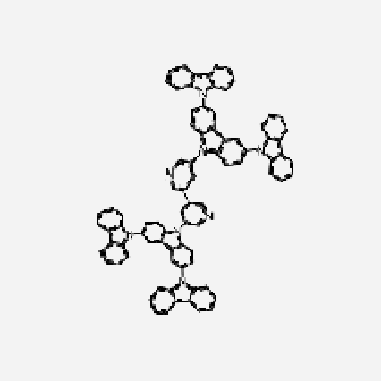 c1ccc2c(c1)c1ccccc1n2-c1ccc2c(c1)c1cc(-n3c4ccccc4c4ccccc43)ccc1n2-c1cncc(-c2cncc(-n3c4ccc(-n5c6ccccc6c6ccccc65)cc4c4cc(-n5c6ccccc6c6ccccc65)ccc43)c2)c1